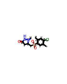 Cc1cc(S(=O)(=O)CC2CC(=O)NN2C)c(C)cc1Cl